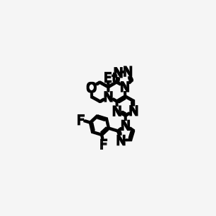 CC[C@]12COCCN1c1nc(-n3ccnc3-c3ccc(F)cc3F)ncc1-n1cnnc12